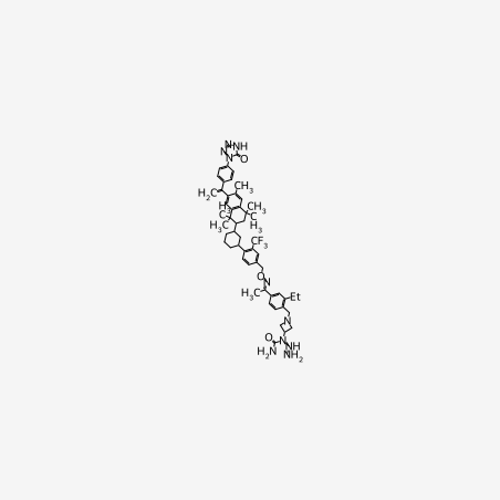 C=C(c1ccc(-n2nn[nH]c2=O)cc1)c1cc2c(cc1C)C(C)(C)CC(C1CCCC(c3ccc(CO/N=C(\C)c4ccc(CN5CC(N(NN)C(N)=O)C5)c(CC)c4)cc3C(F)(F)F)C1)C2(C)C